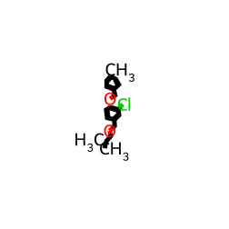 Cc1ccc(COc2ccc(COCC(C)C)cc2Cl)cc1